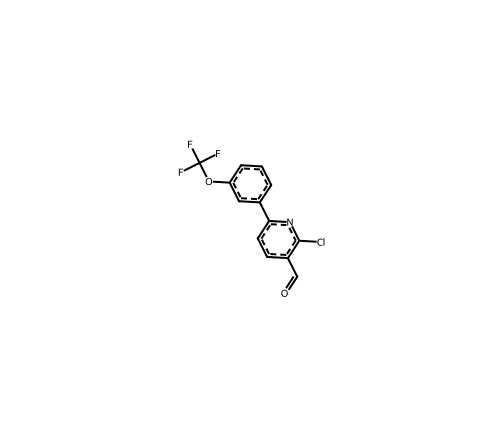 O=Cc1ccc(-c2cccc(OC(F)(F)F)c2)nc1Cl